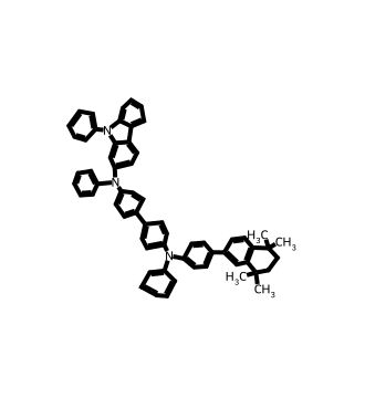 CC1(C)CCC(C)(C)c2cc(-c3ccc(N(c4ccccc4)c4ccc(-c5ccc(N(c6ccccc6)c6ccc7c8ccccc8n(-c8ccccc8)c7c6)cc5)cc4)cc3)ccc21